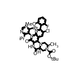 COc1cccc(F)c1-c1nc2c(cc1Cl)c1c(c(=O)n2-c2c(C(C)C)ncnc2C(C)C)NC(=O)[C@H]2CN(C(=O)OC(C)(C)C)[C@H](C)CN12